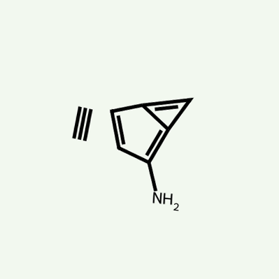 C#C.Nc1ccc2cc1-2